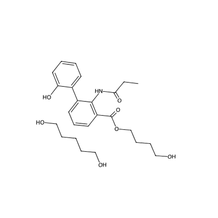 CCC(=O)Nc1c(C(=O)OCCCCO)cccc1-c1ccccc1O.OCCCCCO